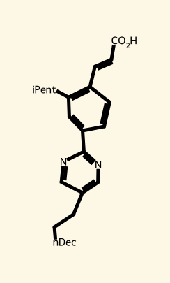 CCCCCCCCCCCCc1cnc(-c2ccc(/C=C/C(=O)O)c(C(C)CCC)c2)nc1